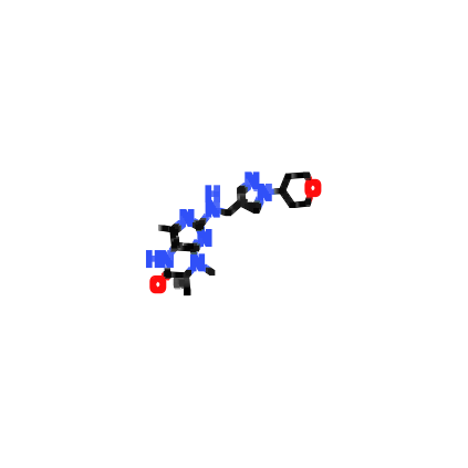 Cc1nc(NCc2cnn(C3CCOCC3)c2)nc2c1NC(=O)[C@H](C)N2C